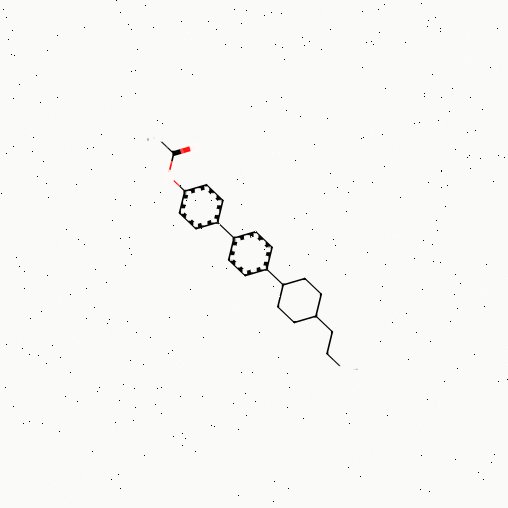 CCCCCCCCCCCCC1CCC(c2ccc(-c3ccc(OC(=O)CCCC)cc3)cc2)CC1